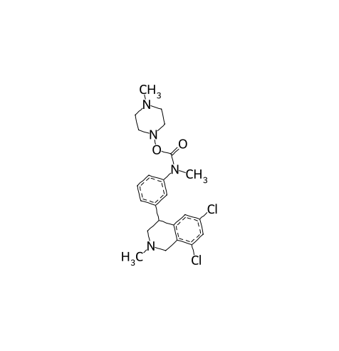 CN1CCN(OC(=O)N(C)c2cccc(C3CN(C)Cc4c(Cl)cc(Cl)cc43)c2)CC1